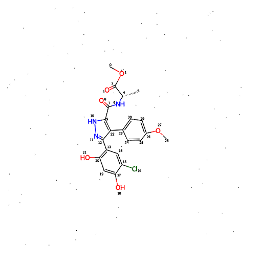 COC(=O)[C@H](C)NC(=O)c1[nH]nc(-c2cc(Cl)c(O)cc2O)c1-c1ccc(OC)cc1